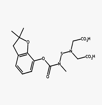 CN(SN(CC(=O)O)CC(=O)O)C(=O)Oc1cccc2c1OC(C)(C)C2